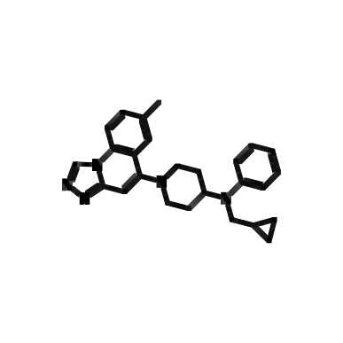 Cc1ccc2c(c1)c(N1CCC(N(CC3CC3)c3ccccc3)CC1)cc1nncn12